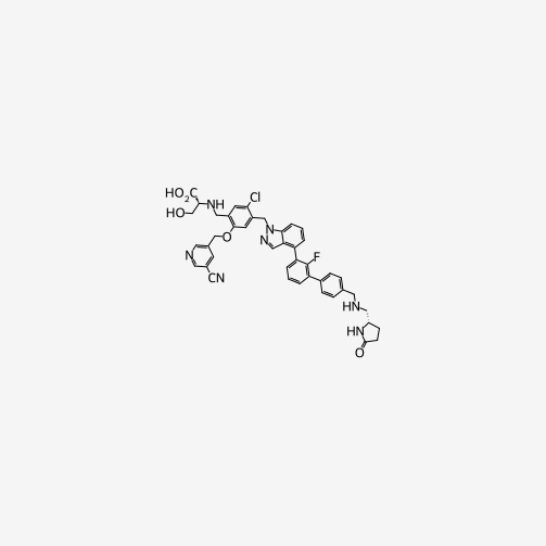 N#Cc1cncc(COc2cc(Cn3ncc4c(-c5cccc(-c6ccc(CNC[C@@H]7CCC(=O)N7)cc6)c5F)cccc43)c(Cl)cc2CN[C@@H](CO)C(=O)O)c1